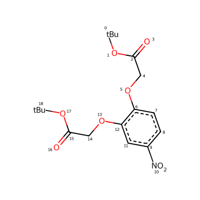 CC(C)(C)OC(=O)COc1ccc([N+](=O)[O-])cc1OCC(=O)OC(C)(C)C